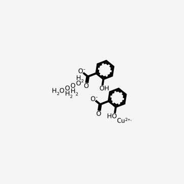 O.O.O.O.O=C([O-])c1ccccc1O.O=C([O-])c1ccccc1O.[Cu+2]